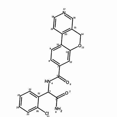 NC(=O)C(NC(=O)c1ccc2c(c1)OCc1cnccc1-2)c1ccccc1Cl